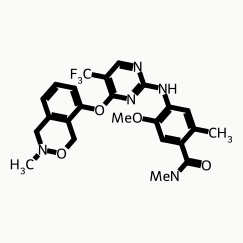 CNC(=O)c1cc(OC)c(Nc2ncc(C(F)(F)F)c(Oc3cccc4c3CON(C)C4)n2)cc1C